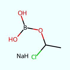 CC(Cl)OB(O)O.[NaH]